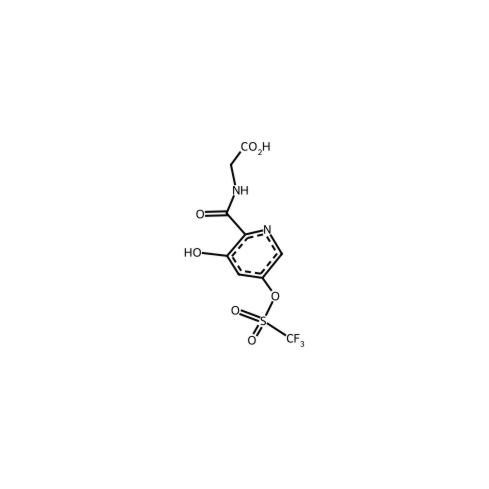 O=C(O)CNC(=O)c1ncc(OS(=O)(=O)C(F)(F)F)cc1O